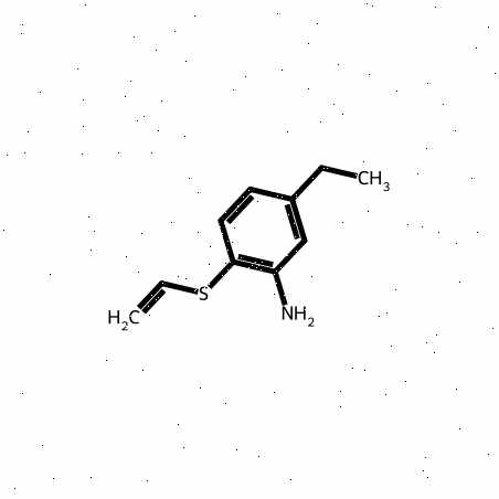 C=CSc1ccc(CC)cc1N